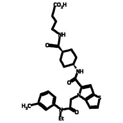 CCN(C(=O)Cn1c(C(=O)N[C@H]2CC[C@H](C(=O)NCCCC(=O)O)CC2)cc2sccc21)c1cccc(C)c1